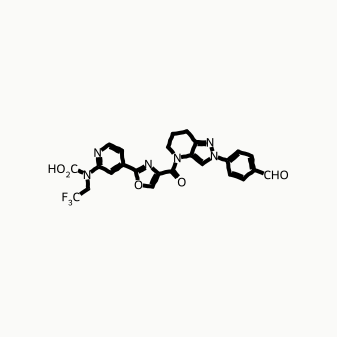 O=Cc1ccc(-n2cc3c(n2)CCCN3C(=O)c2coc(-c3ccnc(N(CC(F)(F)F)C(=O)O)c3)n2)cc1